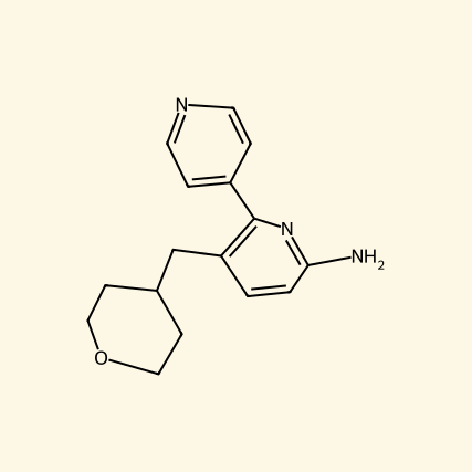 Nc1ccc(CC2CCOCC2)c(-c2ccncc2)n1